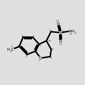 Cc1ccc2c(c1)OCCC2CS(N)(=O)=O